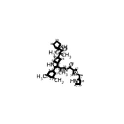 Cc1cc(C)cc(-c2[nH]c3sc(C(C)(C)C(=O)C4C5CCC4NC5)cc3c2[C@H](C)CNC(=O)C2CN(Cc3ccc[nH]3)C2)c1